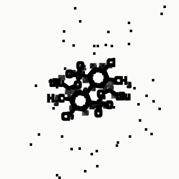 Cc1cc(-c2cc(C)c(Cl)cc2S(=O)(=O)OCC(C)(C)C)c(S(=O)(=O)OCC(C)(C)C)cc1Cl